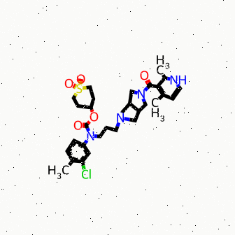 CC1=C(C(=O)N2CC3CN(CCCN(C(=O)OC4CCS(=O)(=O)CC4)c4ccc(C)c(Cl)c4)CC3C2)C(C)NC=C1